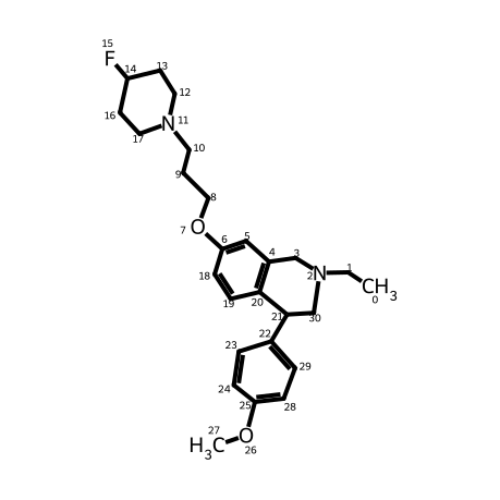 CCN1Cc2cc(OCCCN3CCC(F)CC3)ccc2C(c2ccc(OC)cc2)C1